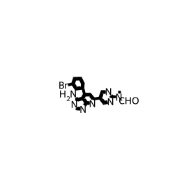 CN(C=O)c1ncc(-c2cc(-c3cccc(Br)c3)c3c(N)ncnc3n2)cn1